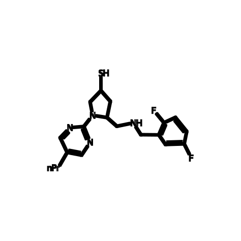 CCCc1cnc(N2CC(S)CC2CNCc2cc(F)ccc2F)nc1